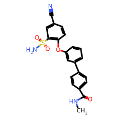 CNC(=O)c1ccc(-c2cccc(Oc3ccc(C#N)cc3S(N)(=O)=O)c2)cc1